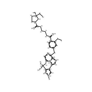 CCc1cc(Cc2nccn3c(-c4cn(C)nc4C(F)(F)F)cnc23)ccc1C(=O)CCCCC(=O)[C@H]1CC[C@](C)(CC)C1